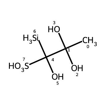 CC(O)(O)C(O)([SiH3])S(=O)(=O)O